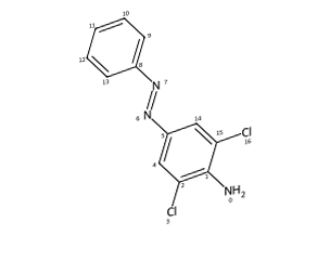 Nc1c(Cl)cc(N=Nc2ccccc2)cc1Cl